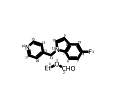 CCOC=O.Fc1ccc2c(ccn2Cc2ccncc2)c1